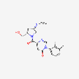 CO/N=C1/C[C@@H](CO)N(C(=O)c2cc(=O)n(-c3cccc(C)c3C)cn2)C1